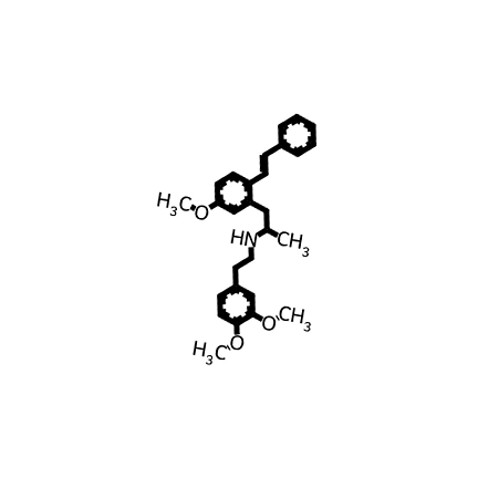 COc1ccc(/C=C/c2ccccc2)c(CC(C)NCCc2ccc(OC)c(OC)c2)c1